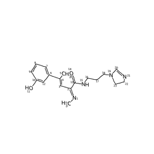 C/N=C(\C=C(/C)c1cccc(O)c1)C(=O)NCCCN1C=NCC1